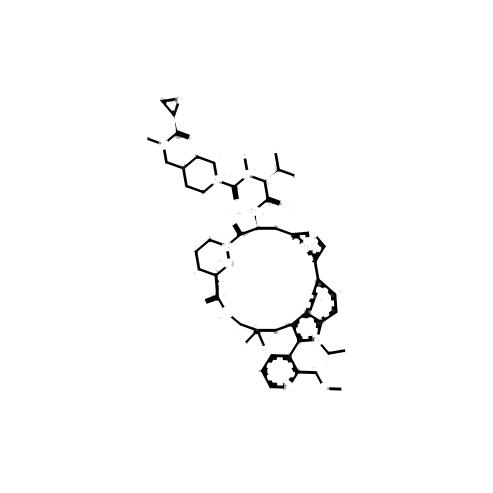 CCn1c(-c2cccnc2[C@H](C)OC)c2c3cc(ccc31)-c1csc(n1)C[C@H](NC(=O)[C@H](C(C)C)N(C)C(=O)N1CCC(CN(C)C(=O)[C@H]3CN3)CC1)C(=O)N1CCC[C@H](N1)C(=O)OCC(C)(C)C2